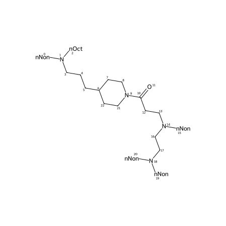 CCCCCCCCCN(CCCCCCCC)CCCC1CCN(C(=O)CCN(CCCCCCCCC)CCN(CCCCCCCCC)CCCCCCCCC)CC1